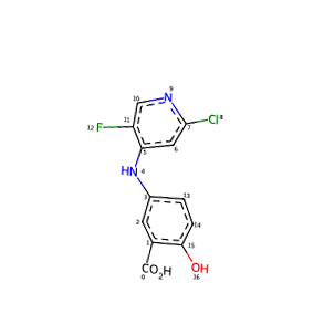 O=C(O)c1cc(Nc2cc(Cl)ncc2F)ccc1O